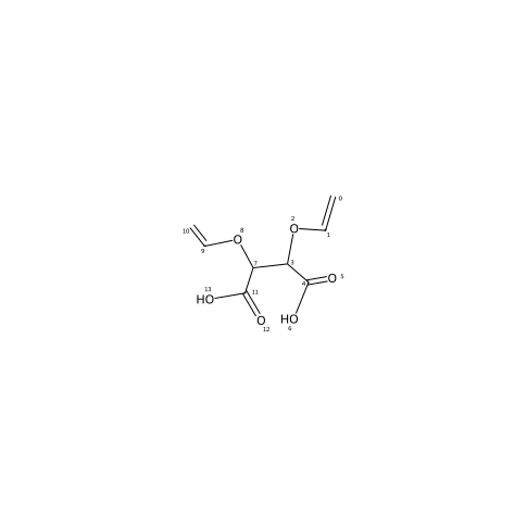 C=COC(C(=O)O)C(OC=C)C(=O)O